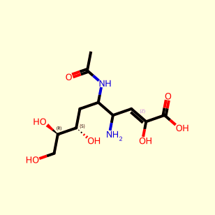 CC(=O)NC(C[C@H](O)[C@H](O)CO)C(N)/C=C(\O)C(=O)O